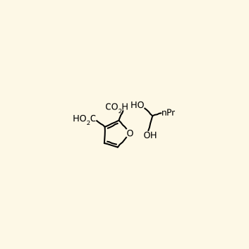 CCCC(O)O.O=C(O)c1ccoc1C(=O)O